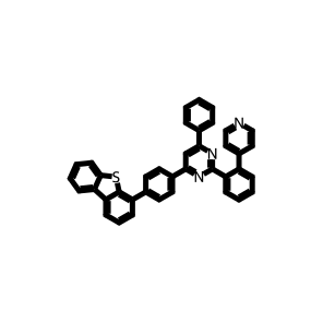 c1ccc(-c2cc(-c3ccc(-c4cccc5c4sc4ccccc45)cc3)nc(-c3ccccc3-c3ccncc3)n2)cc1